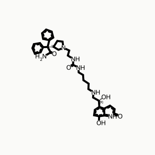 NC(=O)C(c1ccccc1)(c1ccccc1)[C@@H]1CCN(CCNC(=O)NCCCCCNC[C@H](O)c2ccc(O)c3[nH]c(=O)ccc23)C1